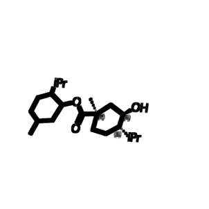 CC1CCC(C(C)C)C(OC(=O)[C@]2(C)CC[C@@H](C(C)C)[C@H](O)C2)C1